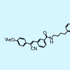 COc1ccc(C(C#N)=Cc2cccc(C(=O)NCCCCc3ccccc3)c2)cc1